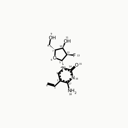 C=Cc1cn([C@@H]2O[C@H](CO)[C@@H](O)[C@H]2F)c(=O)nc1N